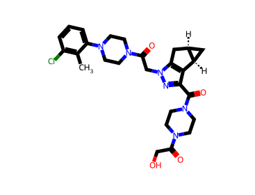 Cc1c(Cl)cccc1N1CCN(C(=O)Cn2nc(C(=O)N3CCN(C(=O)CO)CC3)c3c2C[C@H]2C[C@@H]32)CC1